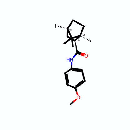 COc1ccc(NC(=O)[C@H]2C[C@H]3CC[C@]2(C)C3(C)C)cc1